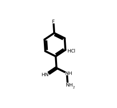 Cl.N=C(NN)c1ccc(F)cc1